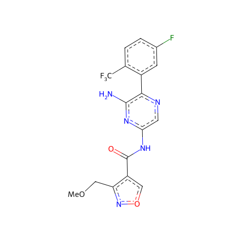 COCc1nocc1C(=O)Nc1cnc(-c2cc(F)ccc2C(F)(F)F)c(N)n1